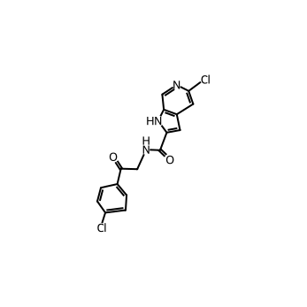 O=C(CNC(=O)c1cc2cc(Cl)ncc2[nH]1)c1ccc(Cl)cc1